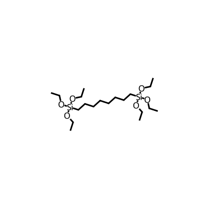 CCO[Si](CCCCCCCC[Si](OCC)(OCC)OCC)(OCC)OCC